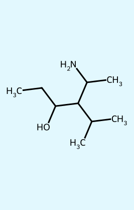 CCC(O)C(C(C)C)C(C)N